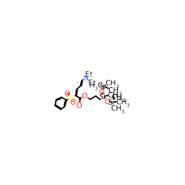 CCN(/C=C/C=C(\C(=O)OCCC[Si](C)(O[Si](C)(C)C)O[Si](C)(C)C)S(=O)(=O)c1ccccc1)CC